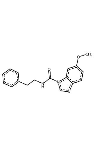 COc1ccc2ncn(C(=O)NCCc3ccccc3)c2c1